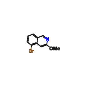 COc1cc2c(Br)cccc2cn1